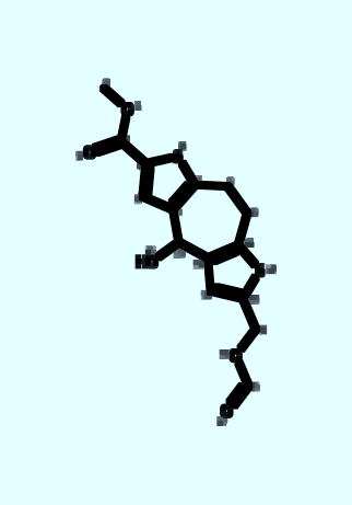 COC(=O)c1cc2c(s1)CCc1sc(COC=O)cc1C2O